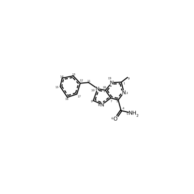 Cc1nc(C(N)=O)c2ncn(Cc3ccccc3)c2n1